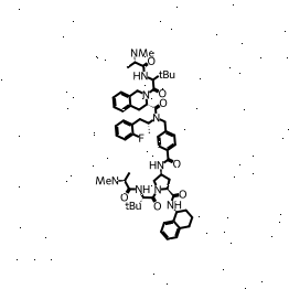 CN[C@@H](C)C(=O)NC(C(=O)N1Cc2ccccc2C[C@H]1C(=O)N(Cc1ccc(C(=O)N[C@H]2C[C@@H](C(=O)N[C@@H]3CCCc4ccccc43)N(C(=O)[C@@H](NC(=O)[C@H](C)NC)C(C)(C)C)C2)cc1)[C@H](C)Cc1ccccc1F)C(C)(C)C